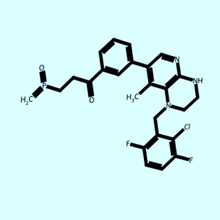 C=P(=O)CCC(=O)c1cccc(-c2cnc3c(c2C)N(Cc2c(F)ccc(F)c2Cl)CCN3)c1